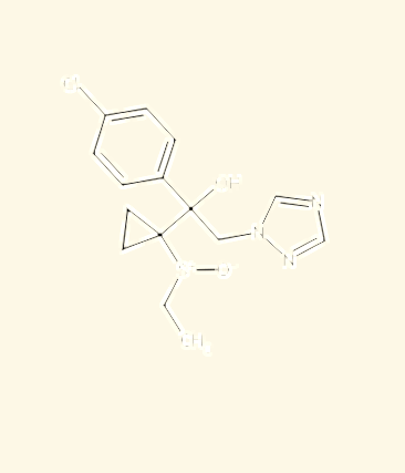 CC[S+]([O-])C1(C(O)(Cn2cncn2)c2ccc(Cl)cc2)CC1